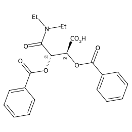 CCN(CC)C(=O)[C@@H](OC(=O)c1ccccc1)[C@H](OC(=O)c1ccccc1)C(=O)O